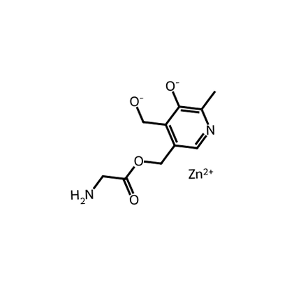 Cc1ncc(COC(=O)CN)c(C[O-])c1[O-].[Zn+2]